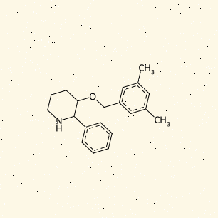 Cc1cc(C)cc(COC2CCCNC2c2ccccc2)c1